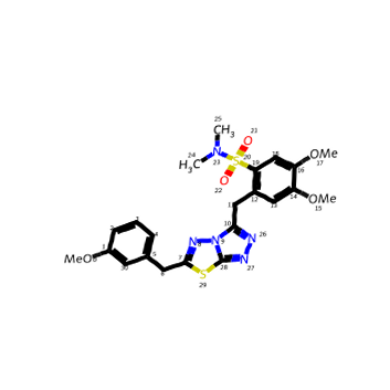 COc1cccc(Cc2nn3c(Cc4cc(OC)c(OC)cc4S(=O)(=O)N(C)C)nnc3s2)c1